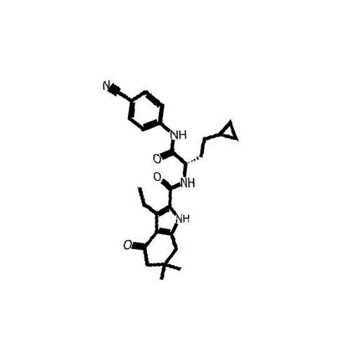 CCc1c(C(=O)N[C@@H](CCC2CC2)C(=O)Nc2ccc(C#N)cc2)[nH]c2c1C(=O)CC(C)(C)C2